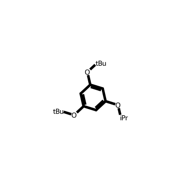 CC(C)Oc1cc(OC(C)(C)C)cc(OC(C)(C)C)c1